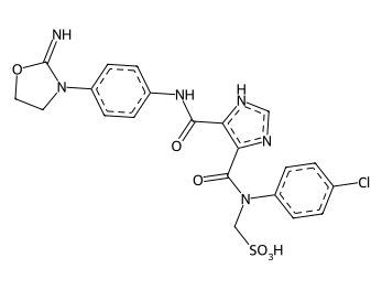 N=C1OCCN1c1ccc(NC(=O)c2[nH]cnc2C(=O)N(CS(=O)(=O)O)c2ccc(Cl)cc2)cc1